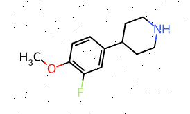 COc1ccc(C2CCNCC2)cc1F